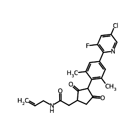 C=CCNC(=O)CC1CC(=O)C(c2c(C)cc(-c3ncc(Cl)cc3F)cc2C)C1=O